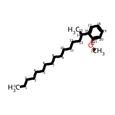 CCCCCCCCCCCCCCC(C)c1ccccc1OC